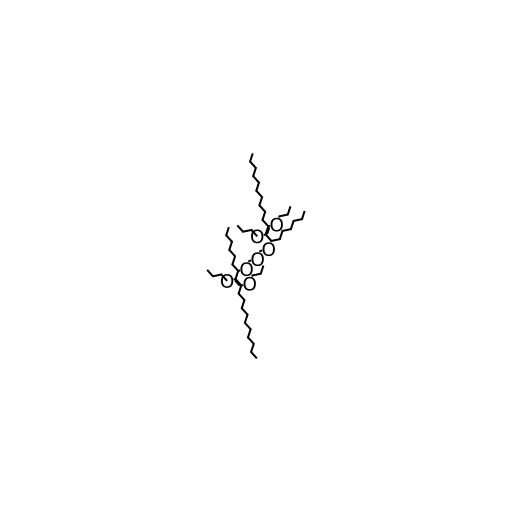 CCCCCCCCCCC(OCCC)=C(OCCC)C(CCCCCC)OCOCOC(CCCCCC)C(OCCC)=C(CCCCCCCCCC)OCCC